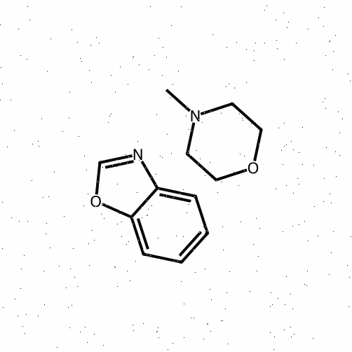 CN1CCOCC1.c1ccc2ocnc2c1